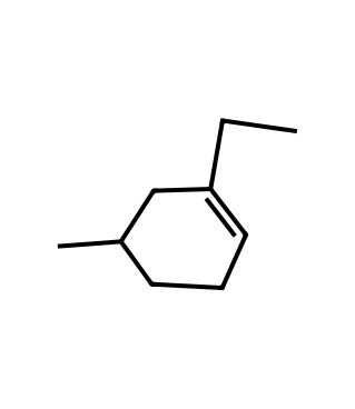 CCC1=CCCC(C)C1